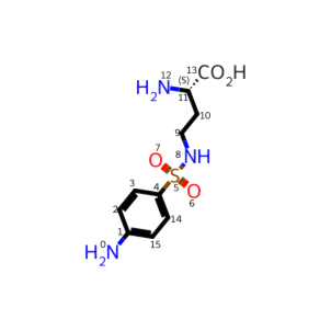 Nc1ccc(S(=O)(=O)NCC[C@H](N)C(=O)O)cc1